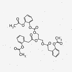 CC(=O)Oc1ccccc1CC(=O)OCC(COC(=O)Oc1ccccc1OC(C)=O)OC(=O)Cc1ccccc1OC(C)=O